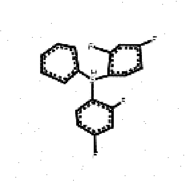 Fc1ccc([SH](c2ccccc2)c2ccc(F)cc2F)c(F)c1